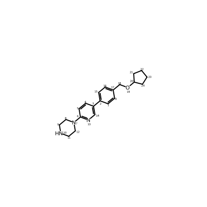 c1cc(-c2ccc(N3CCNCC3)nc2)ccc1COC1CCCC1